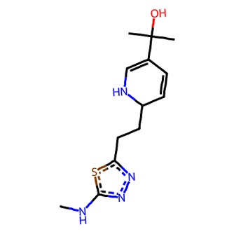 CNc1nnc(CCC2C=CC(C(C)(C)O)=CN2)s1